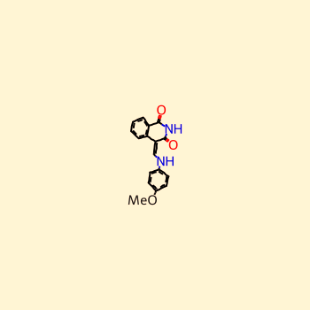 COc1ccc(NC=C2C(=O)NC(=O)c3ccccc32)cc1